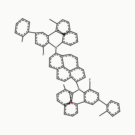 Cc1ccccc1-c1cc(F)c(N(c2ccccc2C)c2ccc3ccc4c(N(c5ccccc5C)c5c(F)cc(-c6ccccc6C)cc5-c5ccccc5C)ccc5ccc2c3c54)c(-c2ccccc2C)c1